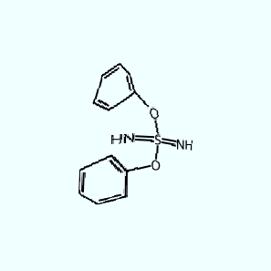 N=S(=N)(Oc1ccccc1)Oc1ccccc1